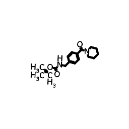 CC(C)(C)OC(=O)NCc1ccc(C(=O)N2CCCCC2)cc1